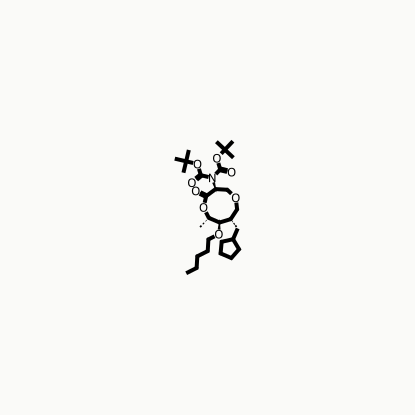 CCCCCO[C@@H]1[C@@H](CC2CCCC2)COC[C@H](N(C(=O)OC(C)(C)C)C(=O)OC(C)(C)C)C(=O)O[C@H]1C